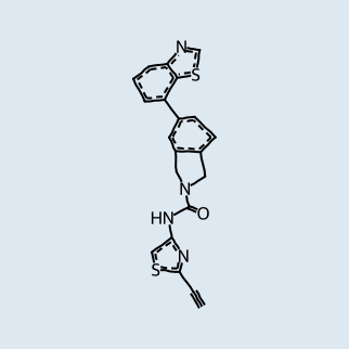 C#Cc1nc(NC(=O)N2Cc3ccc(-c4cccc5ncsc45)cc3C2)cs1